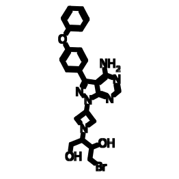 Nc1ncnc2c1c(-c1ccc(Oc3ccccc3)cc1)nn2C1CN(C(CO)C(O)CBr)C1